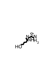 CSC(CN)c1ncc(CCCCO)[nH]1